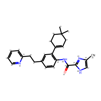 CC1(C)CC=C(c2cc(CCc3ccccn3)ccc2NC(=O)c2nc(C#N)c[nH]2)CC1